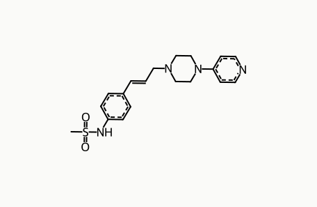 CS(=O)(=O)Nc1ccc(C=CCN2CCN(c3ccncc3)CC2)cc1